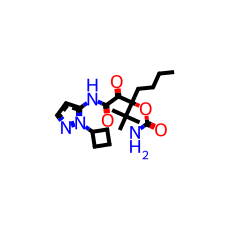 CCCCC(OC(N)=O)(C(=O)C(=O)Nc1ccnn1C1CCC1)C(C)(C)C